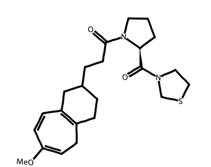 COC1=CCC2=C(C=C1)CC(CCC(=O)N1CCC[C@H]1C(=O)N1CCSC1)CC2